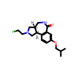 CC(C)COc1ccc2c(c1)C(=O)NC[C@H]1CN(CCF)C[C@H]21